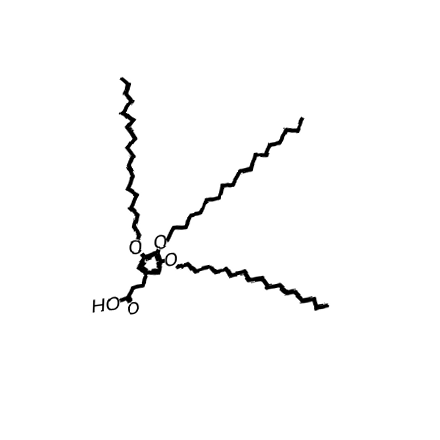 CCCCCCCCCCCCCCCCCCOc1cc(CCC(=O)O)cc(OCCCCCCCCCCCCCCCCCC)c1OCCCCCCCCCCCCCCCCCC